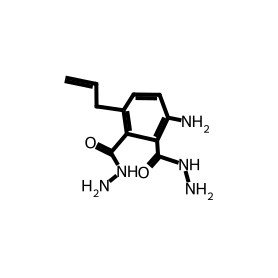 C=CCc1ccc(N)c(C(=O)NN)c1C(=O)NN